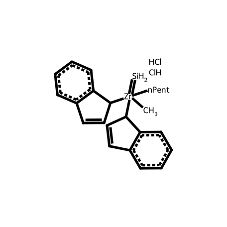 CCCC[CH2][Zr]([CH3])(=[SiH2])([CH]1C=Cc2ccccc21)[CH]1C=Cc2ccccc21.Cl.Cl